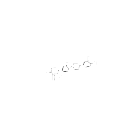 O=C1CCC(c2ccc(N3CCC(c4ccc(Cl)c(F)c4)CC3)c(F)c2)C(=O)N1